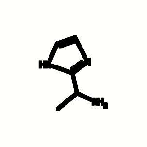 CC(N)c1ncc[nH]1